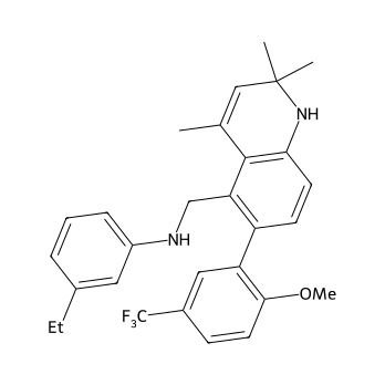 CCc1cccc(NCc2c(-c3cc(C(F)(F)F)ccc3OC)ccc3c2C(C)=CC(C)(C)N3)c1